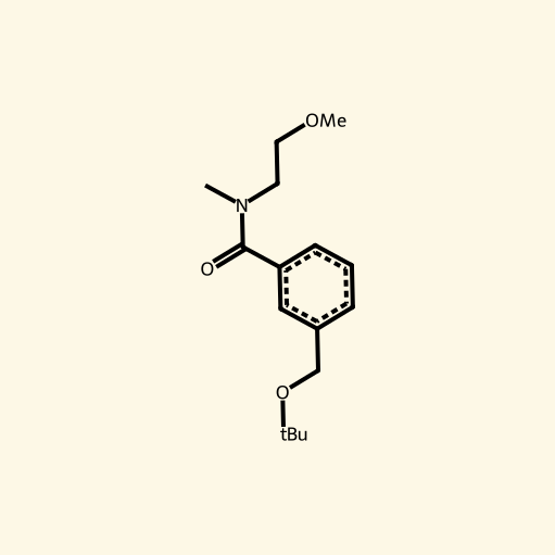 COCCN(C)C(=O)c1cccc(COC(C)(C)C)c1